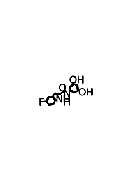 O=C(Nc1cc(O)cc(O)c1)c1cc2cc(F)ccc2[nH]1